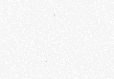 Oc1ccc(-c2oc3c(C(Br)Br)cc(O)cc3c2-c2ccccc2)cc1